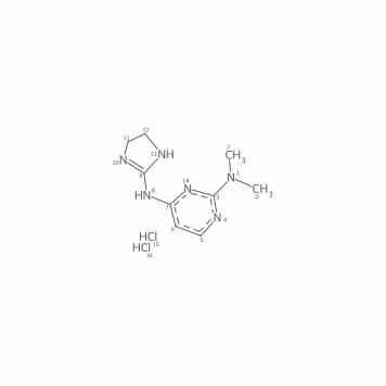 CN(C)c1nccc(NC2=NCCN2)n1.Cl.Cl